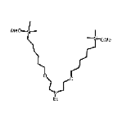 CCN(CCOCCCCCC[Si](C)(C)OC)CCOCCCCCC[Si](C)(C)OC